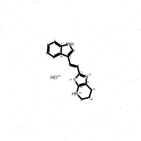 C(=C\c1c[nH]c2ccccc12)/c1nc2c(s1)NCCC2.Cl